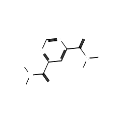 CCN(CC)C(=O)c1cc(C(=O)N(CC)CC)ncn1